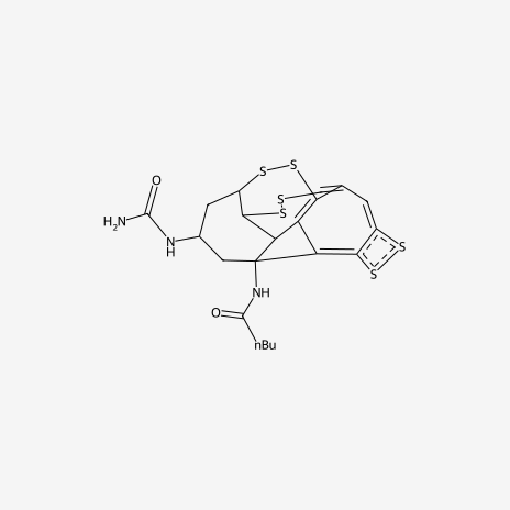 CCCCC(=O)NC12CC(NC(N)=O)CC3SSC4=C5C1=c1ssc1=C/C4=C\SSC3C52